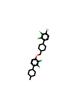 CCc1ccc(C2CCC(COc3ccc(C4CCC(C)CC4)c(F)c3F)CC2)c(F)c1F